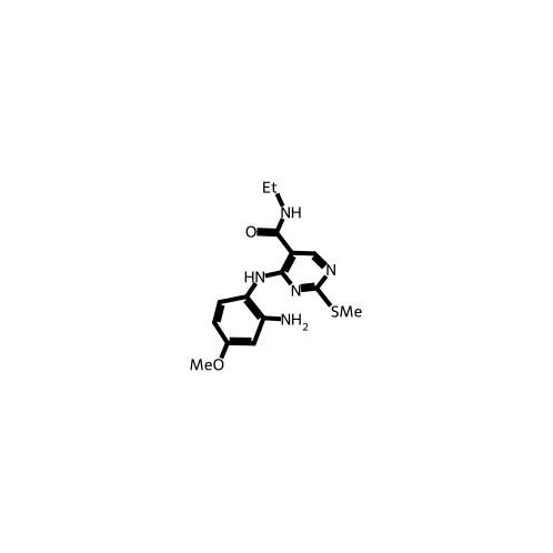 CCNC(=O)c1cnc(SC)nc1Nc1ccc(OC)cc1N